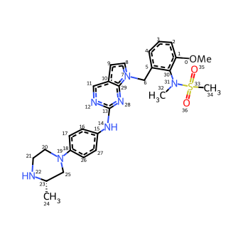 COc1cccc(Cn2ccc3cnc(Nc4ccc(N5CCN[C@@H](C)C5)cc4)nc32)c1N(C)S(C)(=O)=O